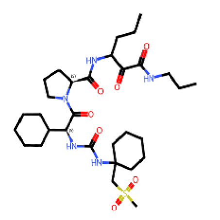 CCCNC(=O)C(=O)C(CCC)NC(=O)[C@@H]1CCCN1C(=O)[C@@H](NC(=O)NC1(CS(C)(=O)=O)CCCCC1)C1CCCCC1